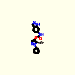 CCCc1c(OC(=O)Nc2ccc3cn[nH]c3c2)cnn1-c1ccccc1